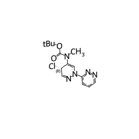 CN(C(=O)OC(C)(C)C)C1=CN(c2cccnn2)N=C[C@@H]1Cl